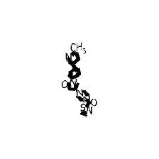 Cc1ccc(-c2ccc(N3CC(N4CCN(C(=O)c5nccs5)CC4)CC3=O)cc2)cn1